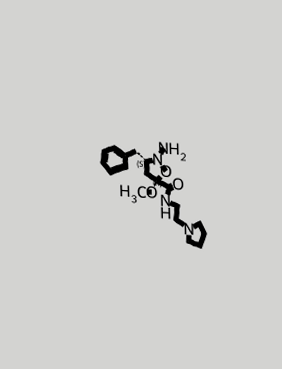 CO[C@]1(C(=O)NCCN2CCCC2)C[C@H](Cc2ccccc2)N(N)O1